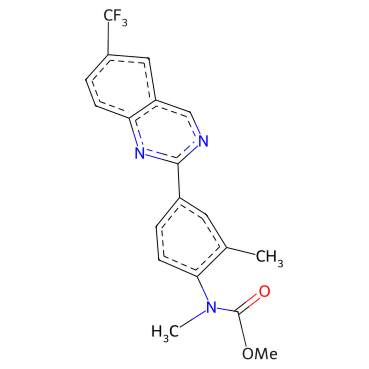 COC(=O)N(C)c1ccc(-c2ncc3cc(C(F)(F)F)ccc3n2)cc1C